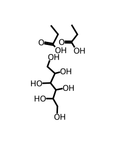 CCC(=O)O.CCC(=O)O.OCC(O)C(O)C(O)C(O)CO